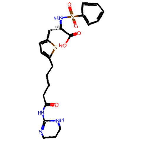 O=C(CCCCc1ccc(C[C@H](NS(=O)(=O)c2ccccc2)C(=O)O)s1)NC1=NCCCN1